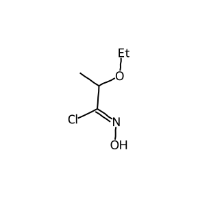 CCOC(C)/C(Cl)=N/O